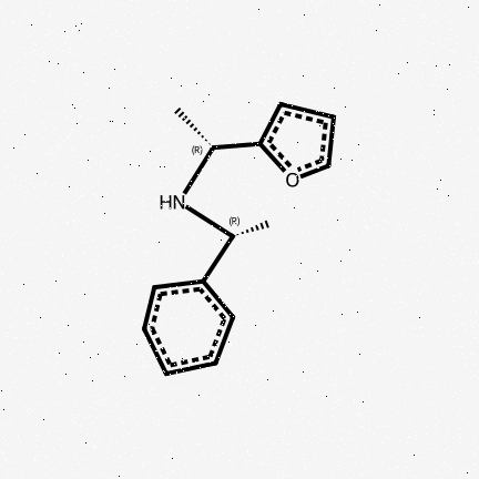 C[C@@H](N[C@H](C)c1ccco1)c1ccccc1